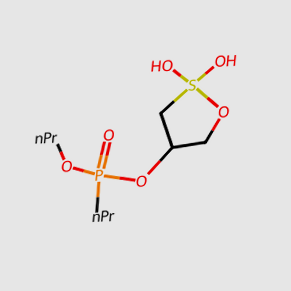 CCCOP(=O)(CCC)OC1COS(O)(O)C1